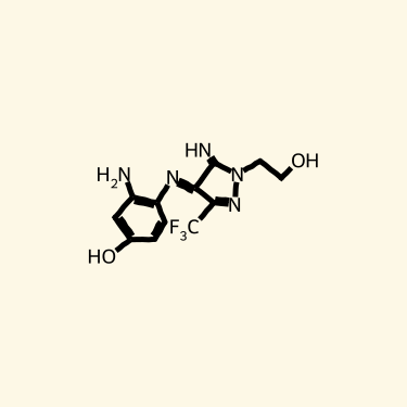 N=C1C(=Nc2ccc(O)cc2N)C(C(F)(F)F)=NN1CCO